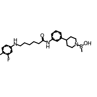 CB(O)N1CCC(c2cccc(NC(=O)CCCCCNc3ccc(F)c(F)c3)c2)CC1